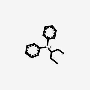 CCC(CC)[SiH](c1ccccc1)c1ccccc1